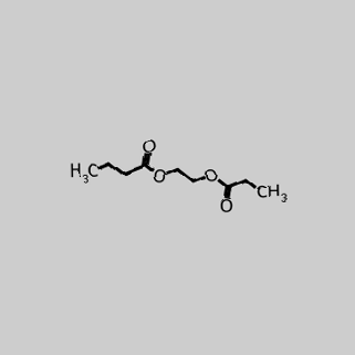 CCCC(=O)OCCOC(=O)CC